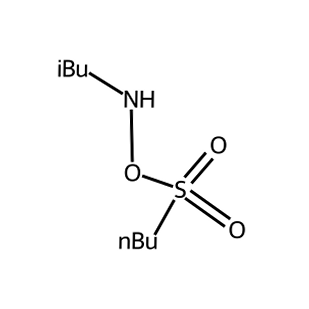 CCCCS(=O)(=O)ONC(C)CC